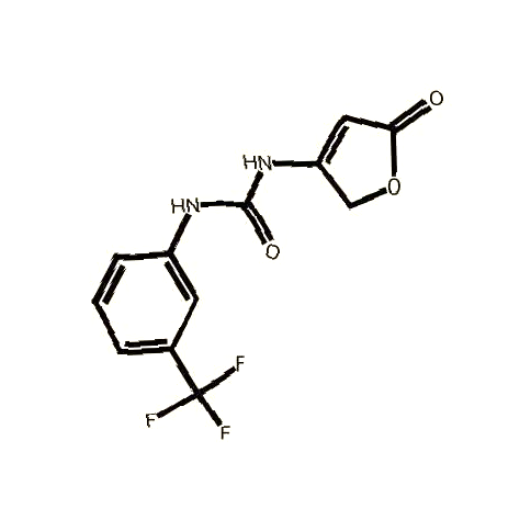 O=C(NC1=CC(=O)OC1)Nc1cccc(C(F)(F)F)c1